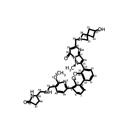 COc1nc(-c2cccc(-c3cccc(-c4cc5nc(CN6CC7(CC(O)C7)C6)cc(=O)n5n4C)c3Cl)c2Cl)ccc1CNCC1CCC(=O)N1